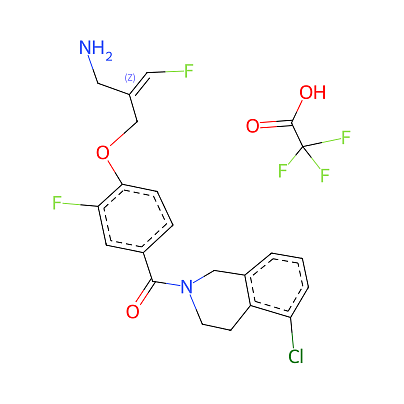 NC/C(=C/F)COc1ccc(C(=O)N2CCc3c(Cl)cccc3C2)cc1F.O=C(O)C(F)(F)F